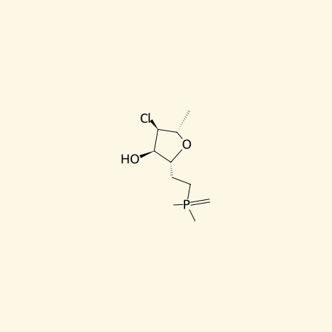 C=P(C)(C)CC[C@H]1O[C@@H](C)[C@H](Cl)[C@@H]1O